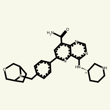 NC(=O)c1cc(-c2ccc(CN3C4CCC3COC4)cc2)nc2c(N[C@H]3CCCNC3)ncnc12